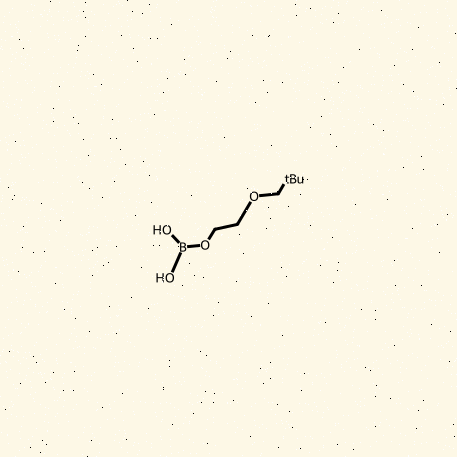 CC(C)(C)COCCOB(O)O